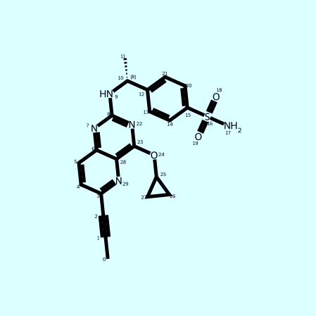 CC#Cc1ccc2nc(N[C@H](C)c3ccc(S(N)(=O)=O)cc3)nc(OC3CC3)c2n1